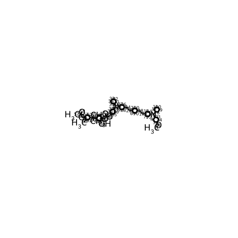 COc1ccc(N(c2ccccc2)c2ccc(CCc3ccc(CCc4ccc(N(c5ccccc5)c5ccc(OC(=O)Oc6ccc(C(C)(C)c7ccc(OC(C)=O)c(C)c7)cc6O)cc5)cc4)cc3)cc2)cc1